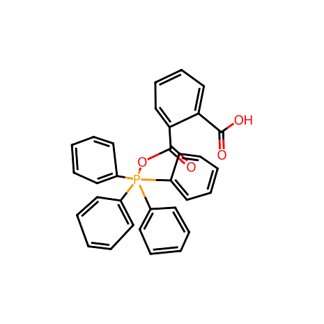 O=C(O)c1ccccc1C(=O)OP(c1ccccc1)(c1ccccc1)(c1ccccc1)c1ccccc1